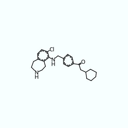 O=C(CC1CCCCC1)c1ccc(CNc2c(Cl)ccc3c2CCNCC3)cc1